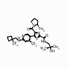 CC1CCCN1C(=O)c1nc(C(=O)NCC(C)(C)O)sc1-c1cnc(NCC2(C(F)(F)F)CCC2)cc1C(F)(F)F